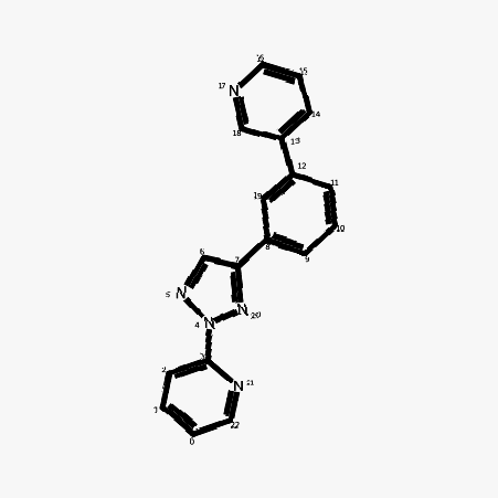 c1ccc(-n2ncc(-c3cccc(-c4cccnc4)c3)n2)nc1